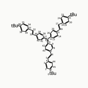 CC(C)(C)c1ccc(/C=C/c2ccc(N(c3ccc(/C=C/c4ccc(C(C)(C)C)cc4)cc3)c3ccc(/C=C/c4ccc(C(C)(C)C)cc4)cc3)cc2)cc1